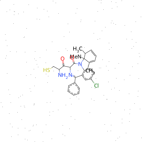 CNC1(N2C(=O)C(C(=O)C(N)CS)N=C(c3ccccc3)c3cc(Cl)ccc32)C(C)=CC=CC1C